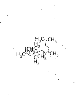 C=C(CCC(C)C)N(I)CC(C)(C)C(C)(C)CC(C)C